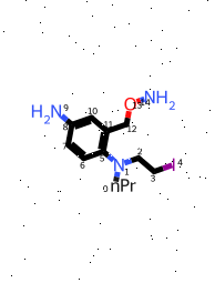 CCCN(CCI)c1ccc(N)cc1CON